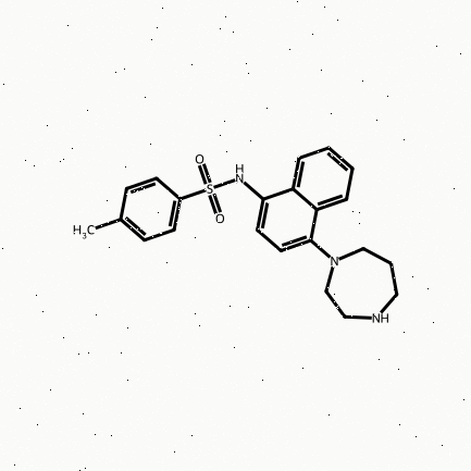 Cc1ccc(S(=O)(=O)Nc2ccc(N3CCCNCC3)c3ccccc23)cc1